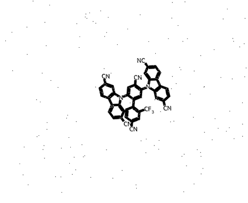 N#Cc1ccc(-c2cc(-n3c4cc(C#N)ccc4c4ccc(C#N)cc43)c(C#N)cc2-n2c3cc(C#N)ccc3c3ccc(C#N)cc32)c(C(F)(F)F)c1